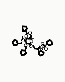 O=S(=O)(c1ccccc1)n1cc(CCO[C@H]2O[C@H]3COC(c4ccccc4)O[C@@H]3[C@@H](OCc3ccccc3)[C@@H]2OCc2ccccc2)c2ccccc21